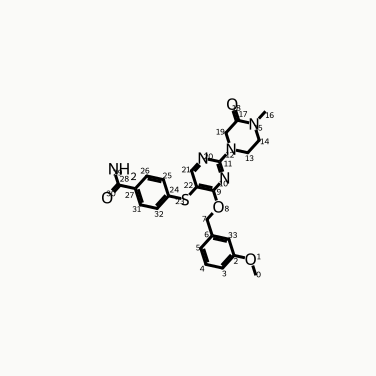 COc1cccc(COc2nc(N3CCN(C)C(=O)C3)ncc2Sc2ccc(C(N)=O)cc2)c1